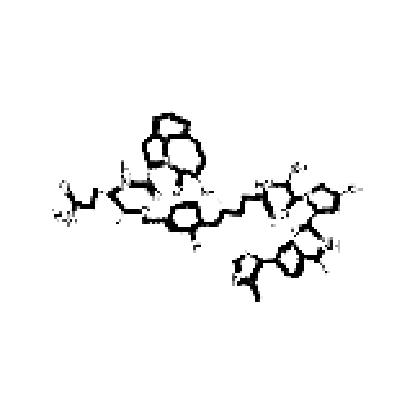 Cc1ncsc1-c1ccc([C@H](C)NC(=O)[C@@H]2C[C@@H](O)CN2C(=O)[C@@H](NC(=O)CCCCc2ccc(CO[C@H](C)[C@H](CCC(N)=O)NC(=O)[C@@H]3Cc4cccc5c4N3C(=O)[C@@H](N)CC5)cc2F)C(C)(C)C)cc1